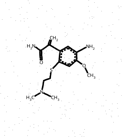 C=C(C(N)=O)c1cc(N)c(OC)cc1SCCN(C)C